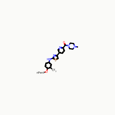 CCCCCOc1ccc(Nc2nc(-c3ccc(C(=O)N4CCN(C)CC4)nc3)cs2)cc1C(F)(F)F